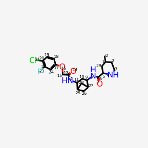 CC1CCNC(C(=O)NC2CC(NC(=O)COc3ccc(Cl)c(F)c3)C3CC2C3)C1